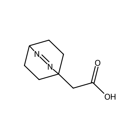 O=C(O)CC12CCC(CC1)N=N2